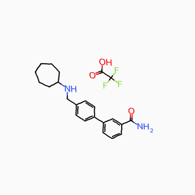 NC(=O)c1cccc(-c2ccc(CNC3CCCCCC3)cc2)c1.O=C(O)C(F)(F)F